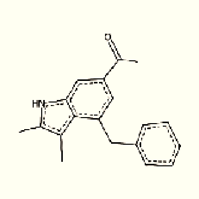 CC(=O)c1cc(Cc2ccccc2)c2c(C)c(C)[nH]c2c1